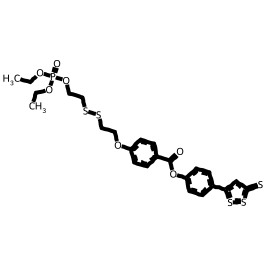 CCOP(=O)(OCC)OCCSSCCOc1ccc(C(=O)Oc2ccc(-c3cc(=S)ss3)cc2)cc1